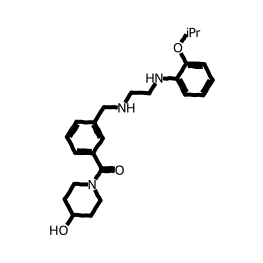 CC(C)Oc1ccccc1NCCNCc1cccc(C(=O)N2CCC(O)CC2)c1